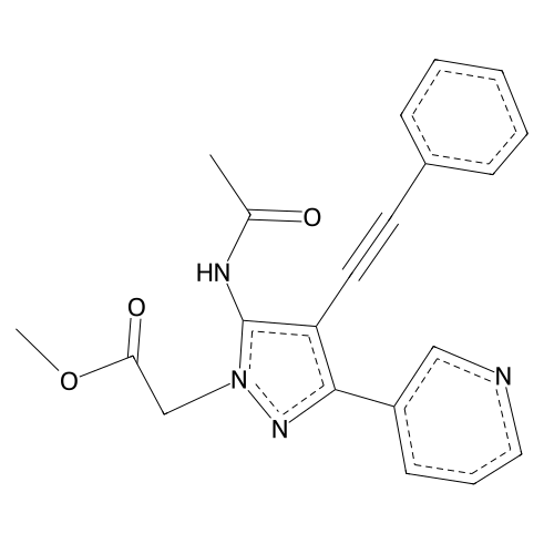 COC(=O)Cn1nc(-c2cccnc2)c(C#Cc2ccccc2)c1NC(C)=O